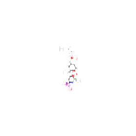 CCOC(=O)Cc1ccc(Oc2ccc([N+](=O)[O-])cc2Cl)c(Cl)c1